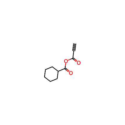 C#CC(=O)OC(=O)C1CCCCC1